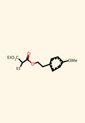 CCOC(=O)C(CC)C(=O)OCCc1ccc(OC)cc1